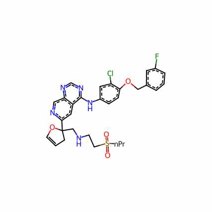 CCCS(=O)(=O)CCNCC1(c2cc3c(Nc4ccc(OCc5cccc(F)c5)c(Cl)c4)ncnc3cn2)CC=CO1